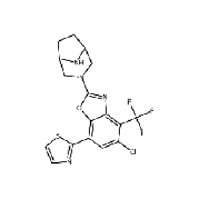 FC(F)(F)c1c(Cl)cc(-c2nccs2)c2oc(N3CC4CCC(C3)N4)nc12